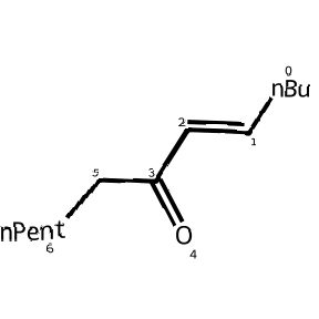 CCCCC=CC(=O)CCCCCC